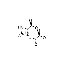 N.O=C([O-])C(=O)O.O=C([O-])C(=O)[O-].[Al+3]